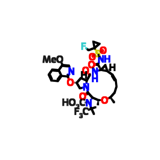 COc1cnc(O[C@@H]2C[C@H]3C(=O)N[C@]4(C(=O)NS(=O)(=O)C5(CF)CC5)C[C@H]4/C=C\CC[C@@H](C)O[C@@H](C)[C@H](N(C(=O)O)C(C)(C)C(F)(F)F)C(=O)N3C2)c2ccccc12